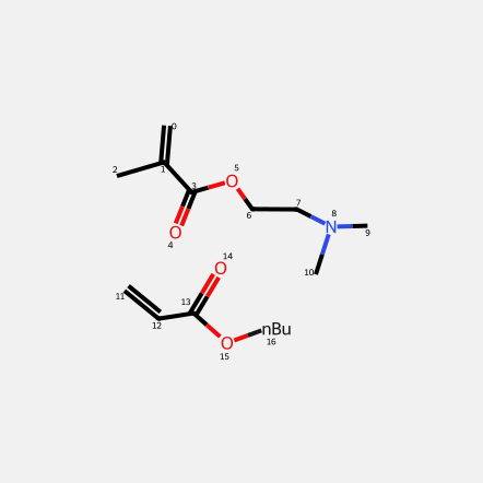 C=C(C)C(=O)OCCN(C)C.C=CC(=O)OCCCC